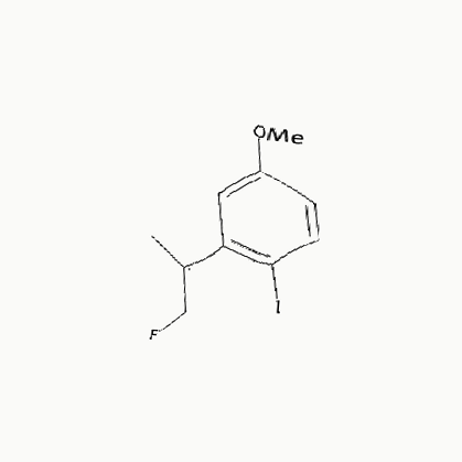 COc1ccc(I)c([C](C)CF)c1